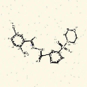 C/C(=N\NC(=O)c1cccc(S(=O)(=O)N2CCOCC2)c1)c1cc(Cl)ccc1[N+](=O)[O-]